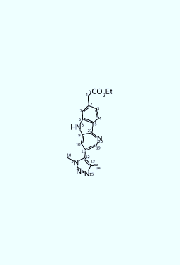 CCOC(=O)Cc1ccc2c(c1)[nH]c1cc(-c3c(C)nnn3C)cnc12